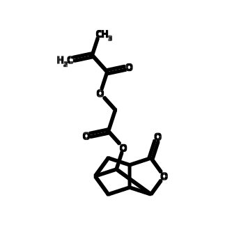 C=C(C)C(=O)OCC(=O)OC1C2CC3C(=O)OC1C3C2